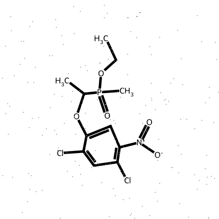 CCOP(C)(=O)C(C)Oc1cc([N+](=O)[O-])c(Cl)cc1Cl